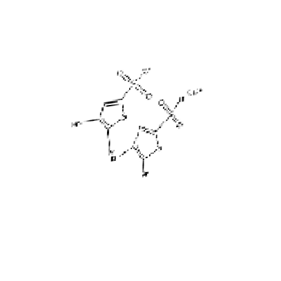 O=S(=O)([O-])c1cc(Br)c(Br)s1.O=S(=O)([O-])c1cc(Br)c(Br)s1.[Ca+2]